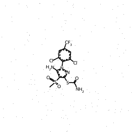 CS(=O)(=O)c1c(SC(N)=O)nn(-c2c(Cl)cc(C(F)(F)F)cc2Cl)c1N